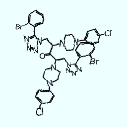 O=C(C(Cn1nnnc1-c1ccccc1Br)N1CCN(c2ccc(Cl)cc2)CC1)C(Cn1nnnc1-c1ccccc1Br)N1CCN(c2ccc(Cl)cc2)CC1